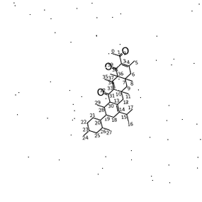 CC(=O)C1=C(C)CC2(C)CC3(C)CC4=C(C(C)C)CC(C5CCC(C)CC5C)C(C)C4C(=O)C3=C(C)C2(C)C1=O